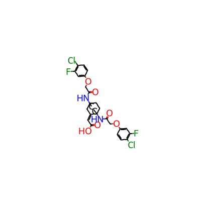 O=C(O)C=C1CC2(NC(=O)COc3ccc(Cl)c(F)c3)CCC1(NC(=O)COc1ccc(Cl)c(F)c1)CC2